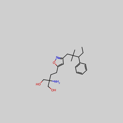 CCC(c1ccccc1)C(C)(C)Cc1cc(CCC(N)(CO)CO)on1